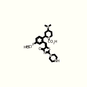 CN(C)C1CCN(C(=O)O)C(c2ccc(F)cc2C=C2SC(N3CCNCC3)=NC2=O)C1.Cl.Cl